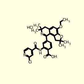 CCOc1cc2c(c3c1OC(C)(C)C3)C(c1ccc(C(=O)O)c(NC(=O)c3ccnc(Cl)c3)c1)=NC(C)(C)C2.Cl